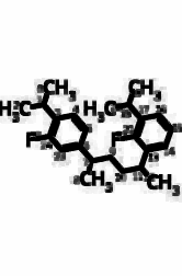 CC(C)c1ccc([C@H](C)CCC(C)c2cccc(C(C)C)c2F)cc1F